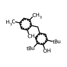 Cc1cc(C)c(Cc2cc(C(C)(C)C)c(O)c(C(C)(C)C)c2)c(C)c1